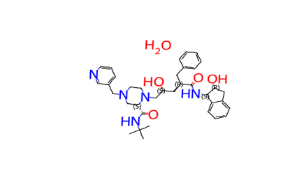 CC(C)(C)NC(=O)[C@@H]1CN(Cc2cccnc2)CCN1C[C@@H](O)C[C@@H](Cc1ccccc1)C(=O)N[C@H]1c2ccccc2C[C@H]1O.O